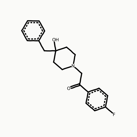 O=C(CN1CCC(O)(Cc2ccccc2)CC1)c1ccc(F)cc1